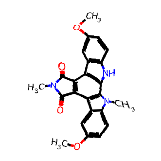 COc1ccc2[nH]c3c(c4c(c5c6cc(OC)ccc6n(C)c35)C(=O)N(C)C4=O)c2c1